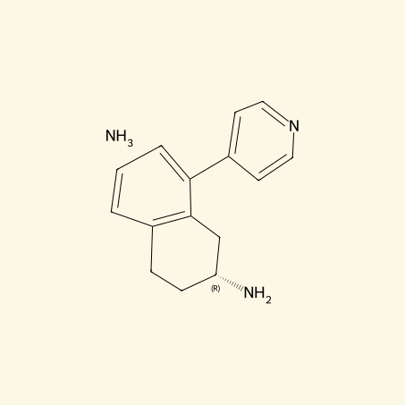 N.N[C@@H]1CCc2cccc(-c3ccncc3)c2C1